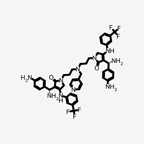 Nc1ccc([C@@H](N)C2=C(Nc3cccc(C(F)(F)F)c3)CN(CCCN(CCCN3CC(Nc4cccc(C(F)(F)F)c4)=C([C@H](N)c4ccc(N)cc4)C3=O)Cc3ccncc3)C2=O)cc1